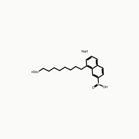 CCCCCCCCCCCCCCCCCCc1cccc2ccc(S(=O)O)cc12.[NaH]